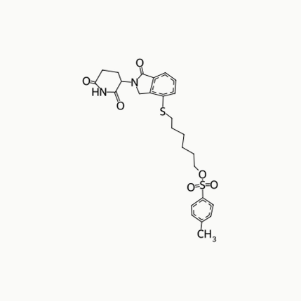 Cc1ccc(S(=O)(=O)OCCCCCCSc2cccc3c2CN(C2CCC(=O)NC2=O)C3=O)cc1